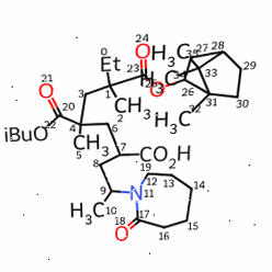 CCC(C)(CC(C)(CC(CC(C)N1CCCCCC1=O)C(=O)O)C(=O)OCC(C)C)C(=O)OC1CC2CCC1(C)C2(C)C